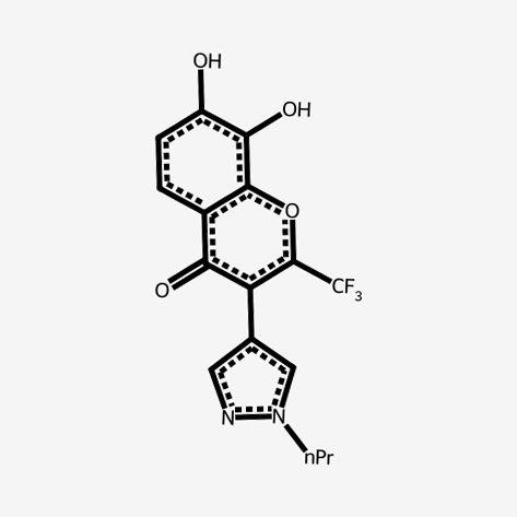 CCCn1cc(-c2c(C(F)(F)F)oc3c(O)c(O)ccc3c2=O)cn1